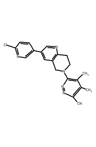 Cc1c(C#N)nnc(N2CCc3ncc(-c4ccc(Cl)nc4)cc3C2)c1C